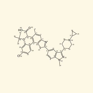 Cc1cc2nc(-c3ccc4c(c3)c(C3CCN(C5CC5)CC3)nn4C)sc2c(-c2ccc(Cl)cc2)c1C(OC(C)(C)C)C(=O)O